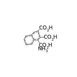 N.O=C(O)c1cc2ccccc2c(C(=O)O)c1C(=O)O